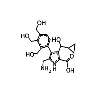 NCc1[nH]c(C(=O)O)c(C(O)C2CC2)c1-c1ccc(CO)c(CO)c1CO